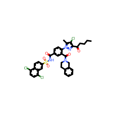 CCCCC(=O)c1nn(-c2ccc(C(=O)NS(=O)(=O)c3ccc4c(Cl)ccc(Cl)c4c3)cc2C(=O)N2CCc3ccccc3C2)c(C)c1Cl